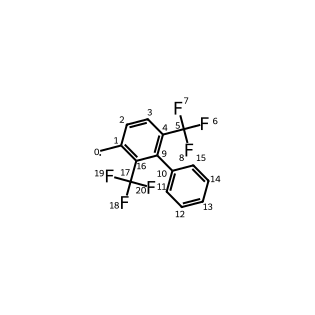 [CH2]c1ccc(C(F)(F)F)c(-c2ccccc2)c1C(F)(F)F